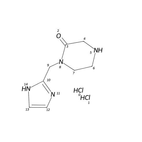 Cl.Cl.O=C1CNCCN1Cc1ncc[nH]1